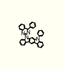 c1ccc(-c2nc(-n3c4ccccc4c4cc5c6ccccc6n(-c6ccccc6)c5cc43)nc3ccccc23)cc1